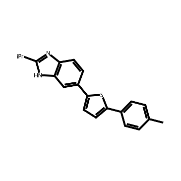 Cc1ccc(-c2ccc(-c3ccc4nc(C(C)C)[nH]c4c3)s2)cc1